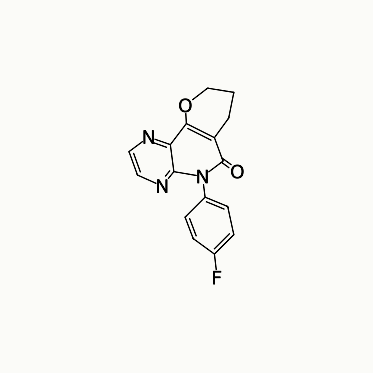 O=c1c2c(c3nccnc3n1-c1ccc(F)cc1)OCCC2